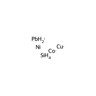 [Co].[Cu].[Ni].[PbH2].[SiH4]